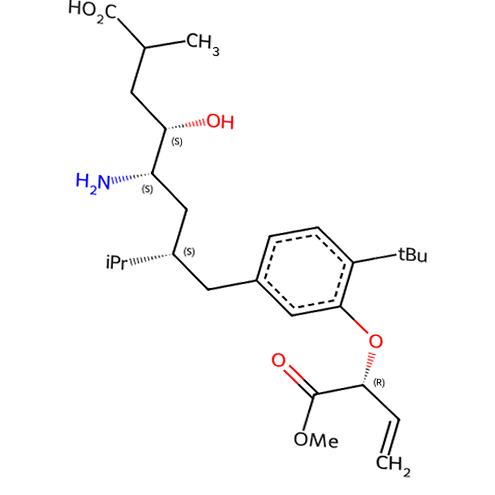 C=C[C@@H](Oc1cc(C[C@@H](C[C@H](N)[C@@H](O)CC(C)C(=O)O)C(C)C)ccc1C(C)(C)C)C(=O)OC